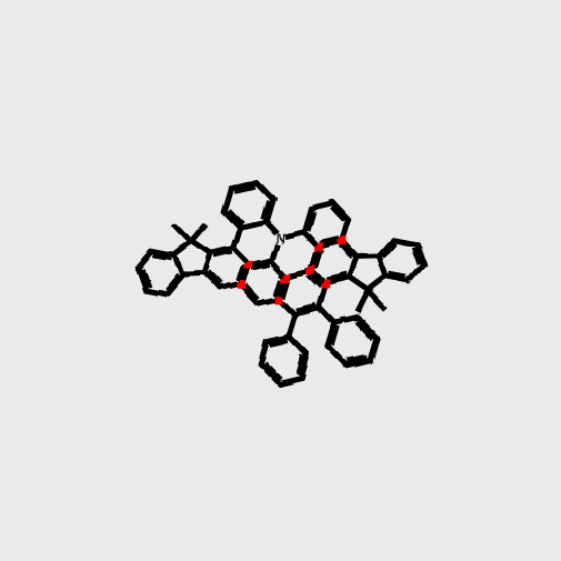 CC1(C)c2ccccc2-c2ccc(-c3ccccc3N(c3ccccc3-c3ccc(-c4ccccc4)c(-c4ccccc4)c3)c3ccccc3-c3cccc4c3C(C)(C)c3ccccc3-4)cc21